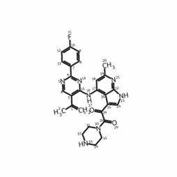 C=C(C)c1cnc(-c2ccc(F)cc2)nc1Nc1cc(C)nc2[nH]cc(C(=O)C(=O)N3CCNCC3)c12